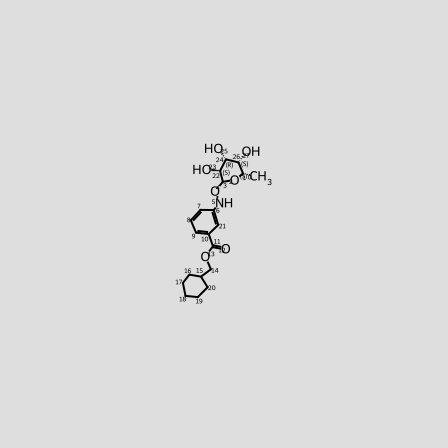 C[C@@H]1OC(ONc2cccc(C(=O)OCC3CCCCC3)c2)[C@@H](O)[C@H](O)[C@@H]1O